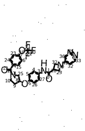 O=C(Nc1ccc(OC2CCN(C(=O)c3ccc(OC(F)(F)F)cc3)C2)cc1)C1CN(c2ccnnc2)C1